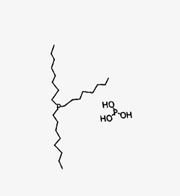 CCCCCCCCP(CCCCCCCC)CCCCCCCC.OP(O)O